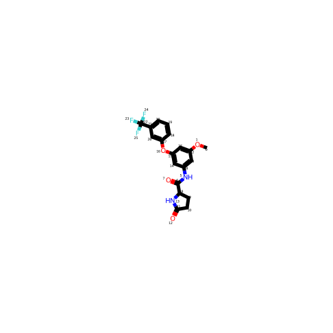 COc1cc(NC(=O)C2CCC(=O)N2)cc(Oc2cccc(C(F)(F)F)c2)c1